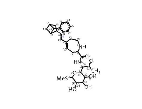 CSC1O[C@H]([C@H](NC(=O)C2CC=C(/C=C/C3CC4CC3C4c3ccccc3)CCN2)[C@H](C)Cl)[C@@H](O)C(O)[C@H]1O